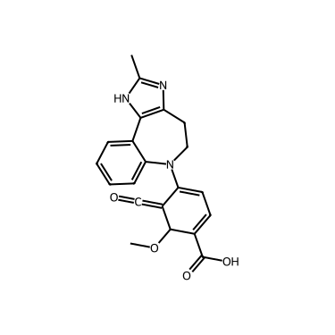 COC1C(=C=O)C(N2CCc3nc(C)[nH]c3-c3ccccc32)=CC=C1C(=O)O